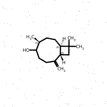 C=C1CCC(O)[C@@H](C)CC[C@@H]2[C@@H]1CC2(C)C